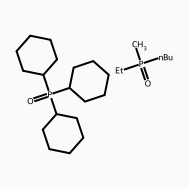 CCCCP(C)(=O)CC.O=P(C1CCCCC1)(C1CCCCC1)C1CCCCC1